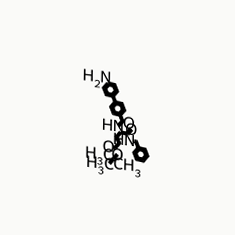 CC(C)(C)OC(=O)CCC(NC(=O)c1ccc(-c2ccc(N)cc2)cc1)C(=O)NCc1ccccc1